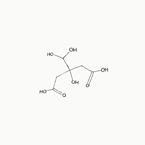 O=C(O)CC(O)(CC(=O)O)C(O)O